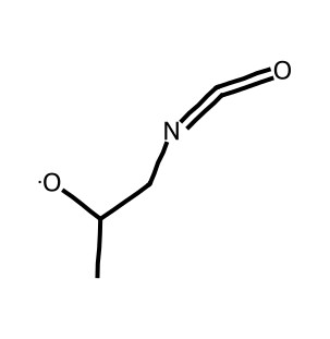 CC([O])CN=C=O